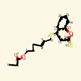 CCC(=O)OCCCCCCSc1cc(=S)oc2ccccc12